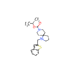 O=C(OC(C(F)(F)F)C(F)(F)F)N1CCC2(CCCN2Cc2cc3ccccc3s2)CC1